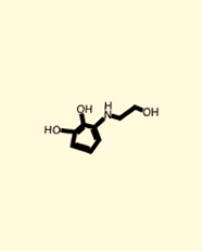 OCCNc1cccc(O)c1O